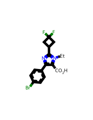 CCn1c(C2CC(F)(F)C2)nc(-c2ccc(Br)cc2)c1C(=O)O